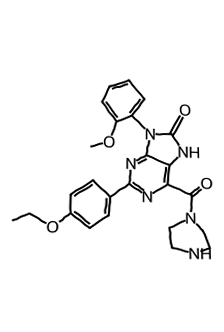 CCOc1ccc(-c2nc(C(=O)N3CCNCC3)c3[nH]c(=O)n(-c4ccccc4OC)c3n2)cc1